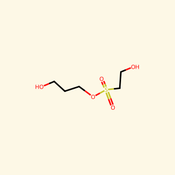 O=S(=O)(CCO)OCCCO